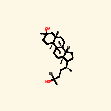 CC[C@@](C)(O)CC[C@@H](C)C1CC[C@H]2[C@@H]3CC[C@H]4C[C@@](C)(O)CC[C@]4(C)[C@H]3CC[C@]12C